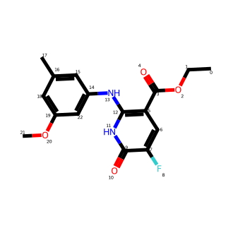 CCOC(=O)c1cc(F)c(=O)[nH]c1Nc1cc(C)cc(OC)c1